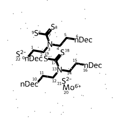 CCCCCCCCCCCCN(CCCCCCCCCCCC)C(=S)[S-].CCCCCCCCCCCCN(CCCCCCCCCCCC)C(=S)[S-].[Mo+6].[S-2].[S-2]